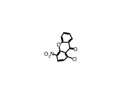 O=c1c2ccccc2oc2c([N+](=O)[O-])ccc(Cl)c12